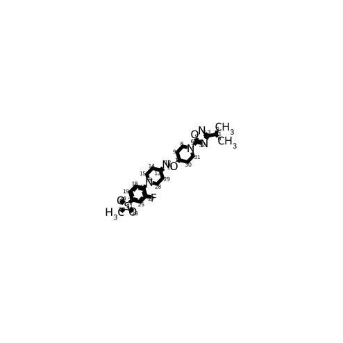 CC(C)c1noc(N2CCC(ON=C3CCN(c4ccc(S(C)(=O)=O)cc4F)CC3)CC2)n1